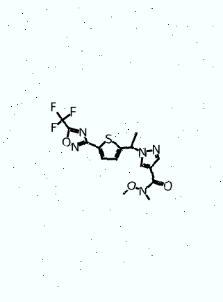 CON(C)C(=O)c1cnn(C(C)c2ccc(-c3noc(C(F)(F)F)n3)s2)c1